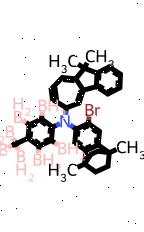 Bc1c(B)c(C(B)(B)B)c(B)c(B)c1N(c1cc2c(cc1Br)C1(C)CCC2(C)CC1)C1C#CC=C2C(=C1)c1ccccc1C2(C)C